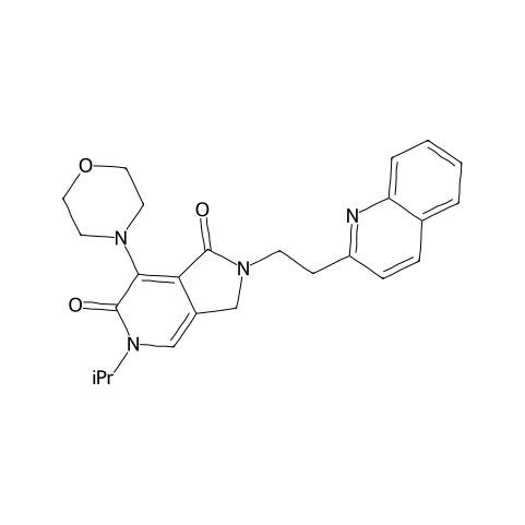 CC(C)n1cc2c(c(N3CCOCC3)c1=O)C(=O)N(CCc1ccc3ccccc3n1)C2